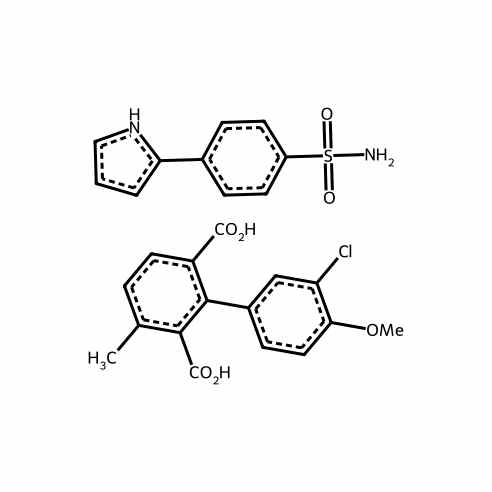 COc1ccc(-c2c(C(=O)O)ccc(C)c2C(=O)O)cc1Cl.NS(=O)(=O)c1ccc(-c2ccc[nH]2)cc1